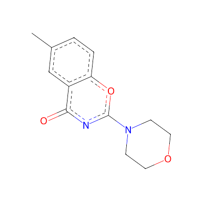 Cc1ccc2oc(N3CCOCC3)nc(=O)c2c1